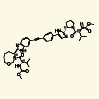 COC(=O)N[C@H](C(=O)N1CCC[C@H]1c1ncc(-c2ccc(C#Cc3ccc4nc([C@@H]5CCCCOCN5C(=O)[C@@H](NC(=O)OC)C(C)C)[nH]c4c3)cc2)[nH]1)C(C)C